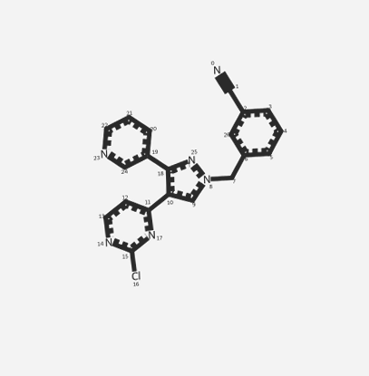 N#Cc1cccc(Cn2cc(-c3ccnc(Cl)n3)c(-c3cccnc3)n2)c1